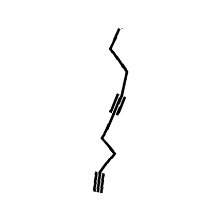 [C]#CCCC#CCC[CH2]